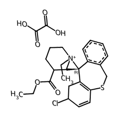 CCOC(=O)C1CCC[N+]2(CC)C1[C@@]21C2=C(C=CC(Cl)C2)SCc2ccccc21.O=C(O)C(=O)O